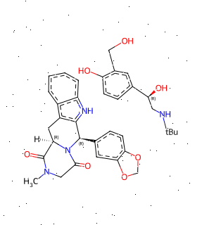 CC(C)(C)NC[C@H](O)c1ccc(O)c(CO)c1.CN1CC(=O)N2[C@H](c3ccc4c(c3)OCO4)c3[nH]c4ccccc4c3C[C@@H]2C1=O